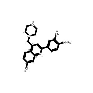 CC(=O)Nc1ccc(-c2cc(CN3CCOCC3)c3ccc(Cl)cc3n2)cc1C#N